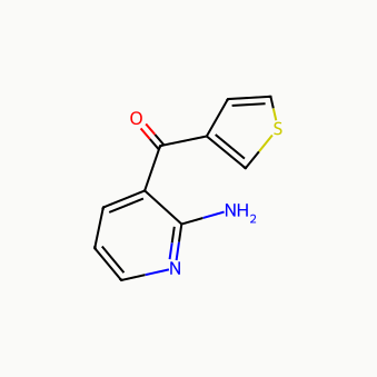 Nc1ncccc1C(=O)c1ccsc1